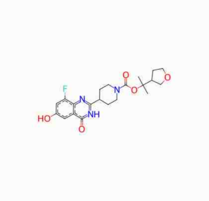 CC(C)(OC(=O)N1CCC(c2nc3c(F)cc(O)cc3c(=O)[nH]2)CC1)C1CCOC1